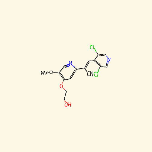 COc1cnc(C(C#N)=Cc2c(Cl)cncc2Cl)cc1OCCO